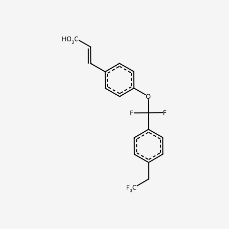 O=C(O)C=Cc1ccc(OC(F)(F)c2ccc(CC(F)(F)F)cc2)cc1